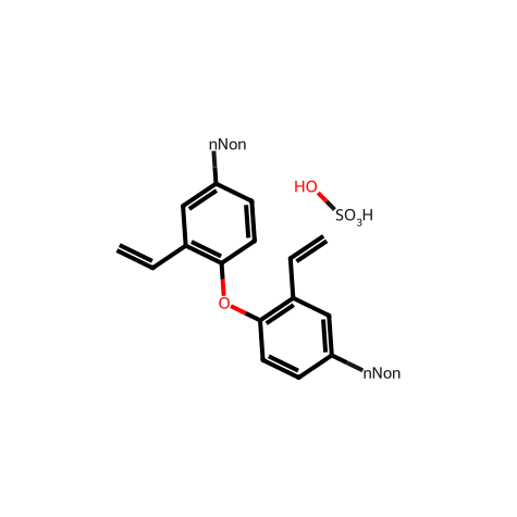 C=Cc1cc(CCCCCCCCC)ccc1Oc1ccc(CCCCCCCCC)cc1C=C.O=S(=O)(O)O